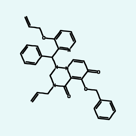 C=CCOc1cccnc1C(c1ccccc1)N1CN(CC=C)C(=O)c2c(OCc3ccccc3)c(=O)ccn21